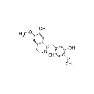 COc1ccc(C[C@H]2c3cc(O)c(OC)cc3CCN2C)cc1O